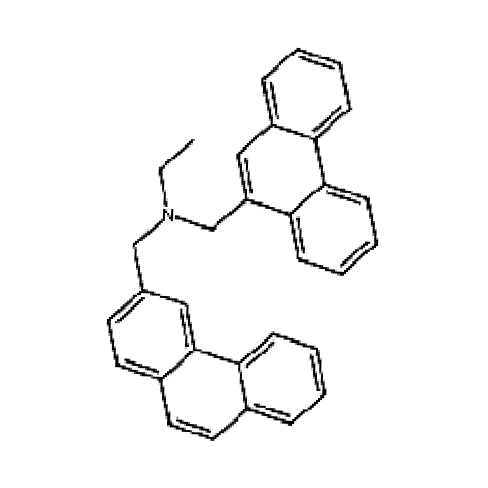 CCN(Cc1ccc2ccc3ccccc3c2c1)Cc1cc2ccccc2c2ccccc12